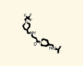 CC(C)NCC1CCN(C(=O)CCNCC2CCN(CC(F)(F)F)CC2)CC1